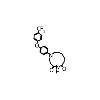 O=C1CCCCCN(c2ccc(Oc3ccc(C(F)(F)F)cc3)cc2)CCC(=O)N1